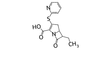 CCC1C(=O)N2C(C(=O)O)=C(Sc3ccccn3)CC12